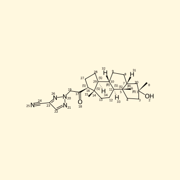 C[C@@]1(O)CC[C@@]2(C)[C@H](CC[C@@H]3[C@@H]2CC[C@]2(C)[C@@H](C(=O)Cn4ncc(C#N)n4)CC[C@@H]32)C1